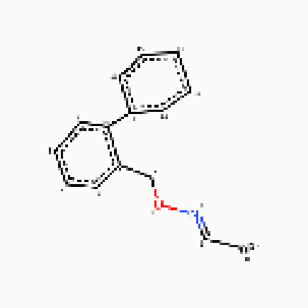 CCCC=NOCc1ccccc1-c1ccccc1